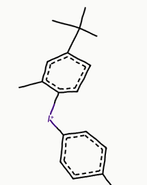 Cc1ccc([I+]c2ccc(C(C)(C)C)cc2C)cc1